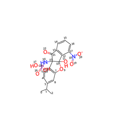 CC(C)c1ccc2c(c1)OC1(O)c3c(cccc3[N+](=O)[O-])C(=O)C21NP(=O)(O)O